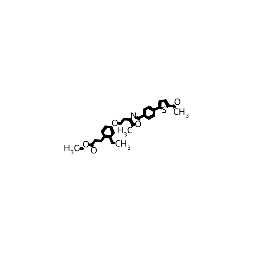 CCOC(=O)CCc1ccc(OCCc2nc(-c3ccc(-c4ccc(C(C)=O)s4)cc3)oc2C)cc1CC